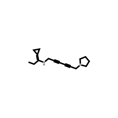 CCC(NCC#CC#CCN1CCCC1)=C1CC1